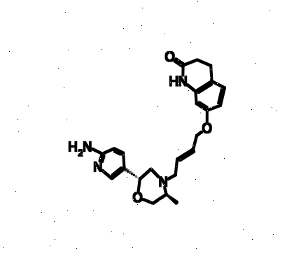 C[C@H]1CO[C@H](c2ccc(N)nc2)CN1C/C=C/COc1ccc2c(c1)NC(=O)CC2